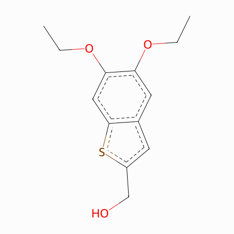 CCOc1cc2cc(CO)sc2cc1OCC